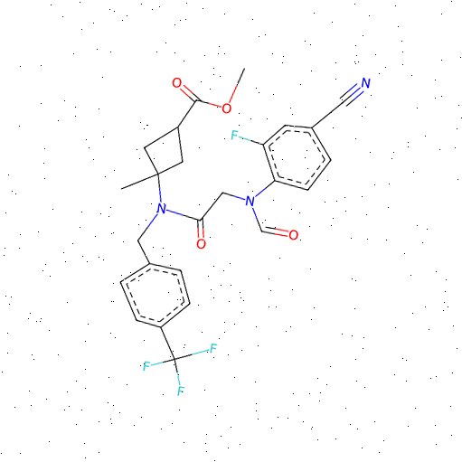 COC(=O)C1CC(C)(N(Cc2ccc(C(F)(F)F)cc2)C(=O)CN(C=O)c2ccc(C#N)cc2F)C1